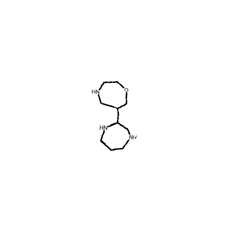 C1CNCC(C2CNCCOC2)NC1